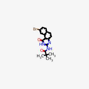 CC(C)(C)C(=O)Nc1nc2ccc3ccc(Br)cc3c2c(=O)[nH]1